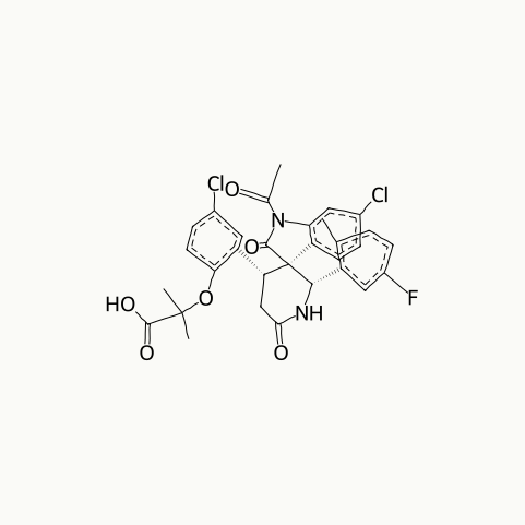 CC(=O)N1C(=O)[C@]2(c3ccc(Cl)cc31)[C@@H](c1cc(Cl)ccc1OC(C)(C)C(=O)O)CC(=O)N[C@H]2c1cc(F)ccc1C